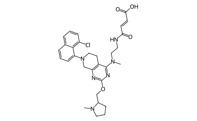 CN(CCNC(=O)C=CC(=O)O)c1nc(OCC2CCCN2C)nc2c1CCN(c1cccc3cccc(Cl)c13)C2